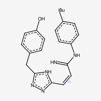 CCC(C)c1ccc(NC(=N)/C=C\c2nnc(Cc3ccc(O)cc3)[nH]2)cc1